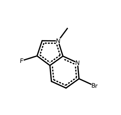 Cn1cc(F)c2ccc(Br)nc21